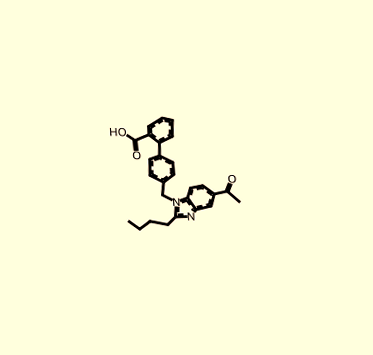 CCCCc1nc2cc(C(C)=O)ccc2n1Cc1ccc(-c2ccccc2C(=O)O)cc1